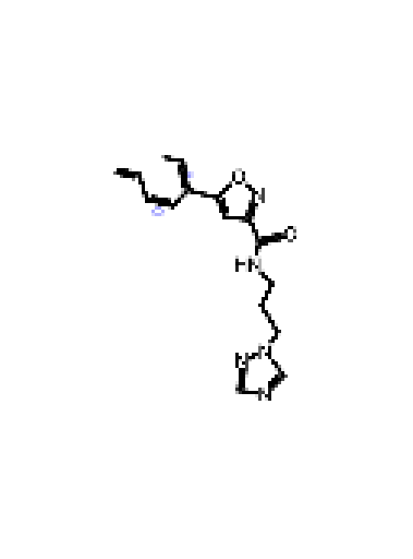 C=C/C=C\C(=C/C)c1cc(C(=O)NCCCn2cncn2)no1